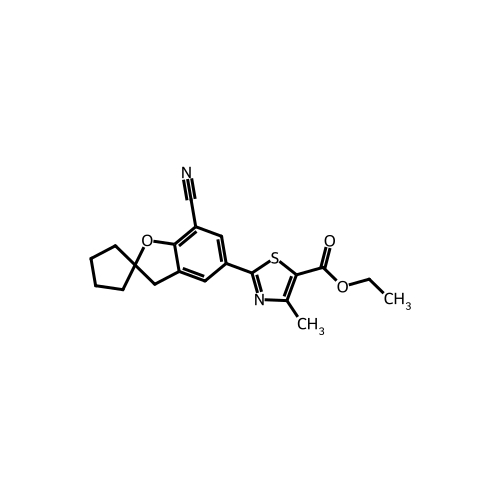 CCOC(=O)c1sc(-c2cc(C#N)c3c(c2)CC2(CCCC2)O3)nc1C